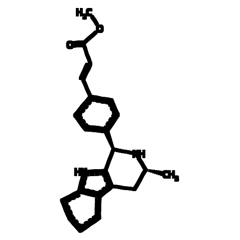 COC(=O)/C=C/c1ccc([C@H]2N[C@H](C)Cc3c2[nH]c2ccccc32)cc1